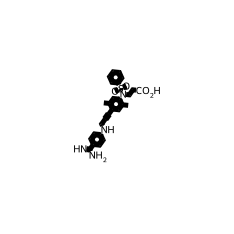 Cc1cc(N(CCC(=O)O)S(=O)(=O)c2ccccc2)c(C)cc1C#CCNc1ccc(C(=N)N)cc1